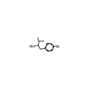 CN(C)C(Cc1ccc(Br)cc1)C(C)(C)C